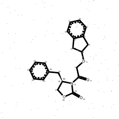 O=C(COC1Cc2ccccc2C1)N1C(=O)OC[C@H]1Cc1ccccc1